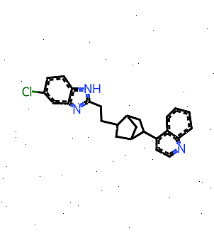 Clc1ccc2[nH]c(CCC3CC4CC3CC4c3ccnc4ccccc34)nc2c1